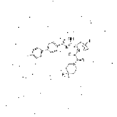 Cc1ccc(-c2ccc(-c3c[nH]c([C@@H]4C[C@@H]5CC5N4C(=O)C(=O)N4CCC(F)(F)CC4)n3)cc2)cc1